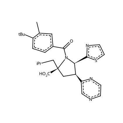 Cc1cc(C(=O)N2[C@@H](c3nccs3)[C@@H](c3cnccn3)C[C@@]2(CC(C)C)C(=O)O)ccc1C(C)(C)C